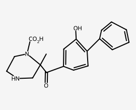 CC1(C(=O)c2ccc(-c3ccccc3)c(O)c2)CNCCN1C(=O)O